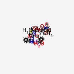 CC1(C)S[C@@H]2[C@H](NC(=O)[C@H](N)c3ccccc3)C(=O)N2[C@H]1C(=O)OCOC(=O)[C@@H]1N2C(=O)C[C@H]2S(=O)(=O)C1(C)C.O.O.O=S(=O)(O)c1ccccc1